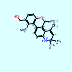 CCCCCC1Oc2ccc(CO)c(OC)c2-c2ccc3c(c21)C(C)=CC(C)(C)N3